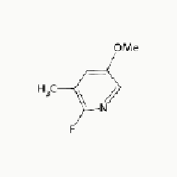 COc1cnc(F)c(C)c1